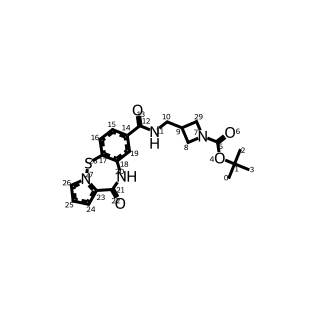 CC(C)(C)OC(=O)N1CC(CNC(=O)c2ccc3c(c2)NC(=O)c2cccn2S3)C1